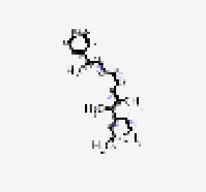 C=C/C=C(\C=C/C)C(=C)/C(C)=C/C=C\C=C\C(=C)c1ccbcc1